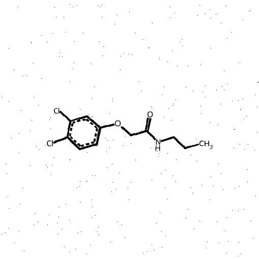 CCCNC(=O)COc1ccc(Cl)c(Cl)c1